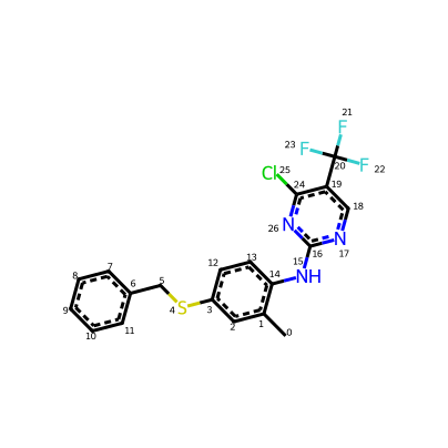 Cc1cc(SCc2ccccc2)ccc1Nc1ncc(C(F)(F)F)c(Cl)n1